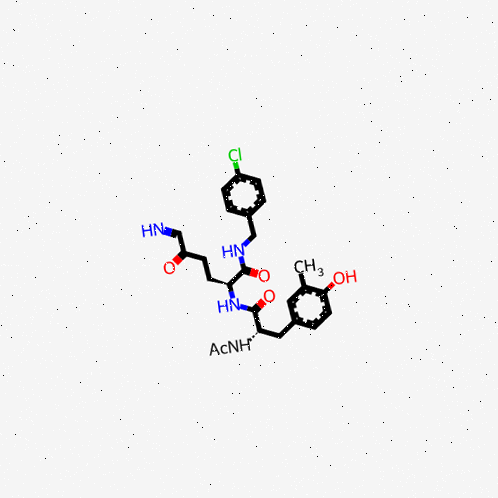 CC(=O)N[C@@H](Cc1ccc(O)c(C)c1)C(=O)N[C@@H](CCC(=O)C=N)C(=O)NCc1ccc(Cl)cc1